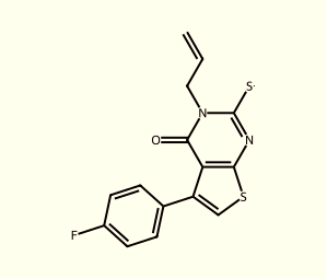 C=CCn1c([S])nc2scc(-c3ccc(F)cc3)c2c1=O